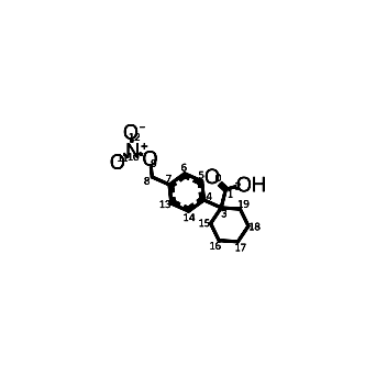 O=C(O)C1(c2ccc(CO[N+](=O)[O-])cc2)CCCCC1